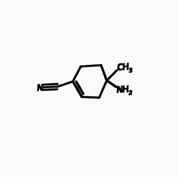 CC1(N)CC=C(C#N)CC1